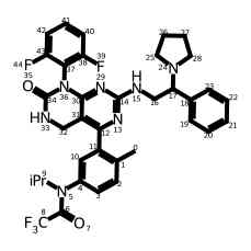 Cc1ccc(N(C(=O)C(F)(F)F)C(C)C)cc1-c1nc(NCC(c2ccccc2)N2CCCC2)nc2c1CNC(=O)N2c1c(F)cccc1F